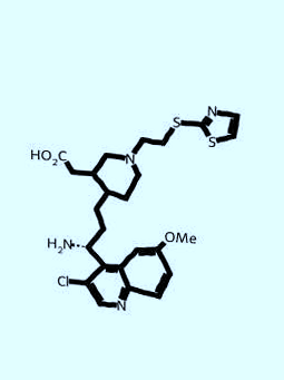 COc1ccc2ncc(Cl)c([C@H](N)CCC3CCN(CCSc4nccs4)CC3CC(=O)O)c2c1